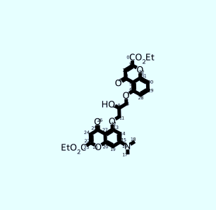 CCOC(=O)c1cc(=O)c2c(OCC(O)COc3cc(N(C)C)cc4oc(C(=O)OCC)cc(=O)c34)cccc2o1